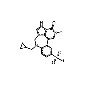 CCS(=O)(=O)c1ccc2c(c1)-c1cn(C)c(=O)c3[nH]cc(c13)CN2CC1CC1